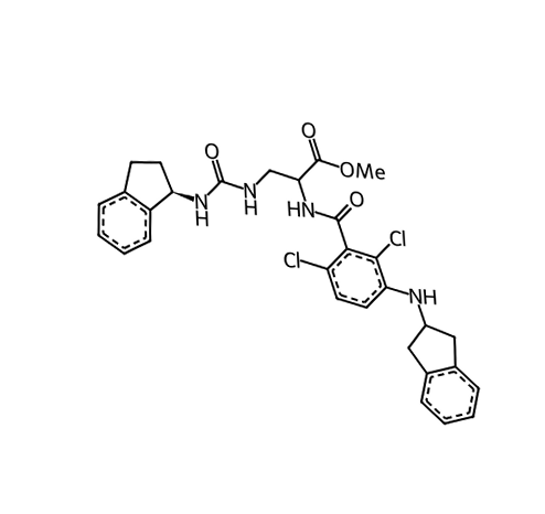 COC(=O)C(CNC(=O)N[C@@H]1CCc2ccccc21)NC(=O)c1c(Cl)ccc(NC2Cc3ccccc3C2)c1Cl